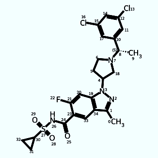 Cc1nn(C2CCN([C@@H](C)c3cc(Cl)cc(Cl)c3)C2)c2cc(F)c(C(=O)NS(=O)(=O)C3CC3)cc12